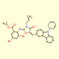 C=CCN1C(=O)/C(=C\c2ccc3c(c2)c2ccccc2n3C2C=CC=CC2)O/C1=N\c1c(Br)cc(Br)cc1C(=O)OC